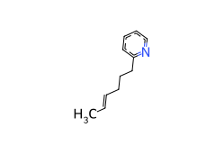 CC=CCCCc1ccccn1